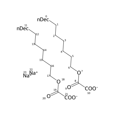 CCCCCCCCCCCCCCCCOC(=O)C(=O)[O-].CCCCCCCCCCCCCCCCOC(=O)C(=O)[O-].[Na+].[Na+]